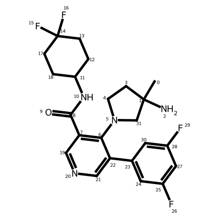 CC1(N)CCN(c2c(C(=O)NC3CCC(F)(F)CC3)cncc2-c2cc(F)cc(F)c2)C1